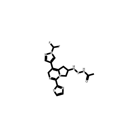 CC(=O)NSNC1CC2=C(c3cnn(C(F)F)c3)CN=C(c3nccs3)N2C1